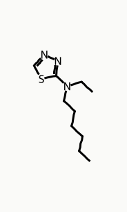 CCCCCCN(CC)c1nncs1